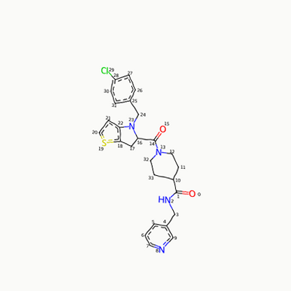 O=C(NCc1cccnc1)C1CCN(C(=O)C2Cc3sccc3N2Cc2ccc(Cl)cc2)CC1